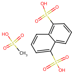 CS(=O)(=O)O.O=S(=O)(O)c1cccc2c(S(=O)(=O)O)cccc12